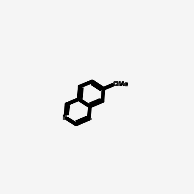 COc1ccc2cnc[c]c2c1